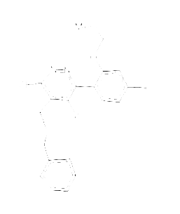 COCOc1cc(C(F)(F)F)ccc1-c1nnc(Cl)c(COCc2ccccc2)c1C